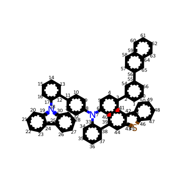 c1cc(-c2ccc(N(c3ccc(-c4ccccc4-n4c5ccccc5c5ccccc54)cc3)c3ccccc3-c3ccc4c(c3)sc3ccccc34)cc2)cc(-c2ccc3ccccc3c2)c1